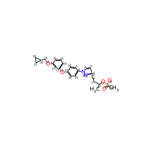 CC(CCc1ccn(-c2ccc(Oc3cccc(OCC4CC4)c3)cc2)n1)OS(C)(=O)=O